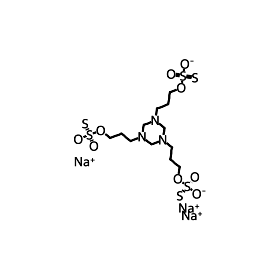 O=S([O-])(=S)OCCCN1CN(CCCOS(=O)([O-])=S)CN(CCCOS(=O)([O-])=S)C1.[Na+].[Na+].[Na+]